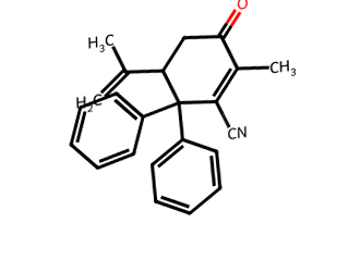 C=C(C)C1CC(=O)C(C)=C(C#N)C1(c1ccccc1)c1ccccc1